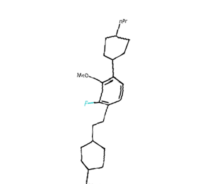 CCCCCCCC1CCC(CCc2ccc(C3CCC(CCC)CC3)c(OC)c2F)CC1